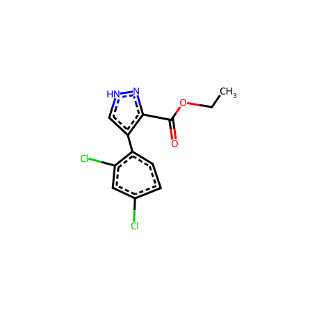 CCOC(=O)c1n[nH]cc1-c1ccc(Cl)cc1Cl